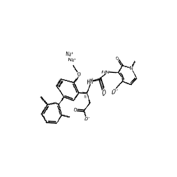 COc1ccc(-c2c(C)cccc2C)cc1[C@H](CC(=O)[O-])NC(=O)Nc1c([O-])ccn(C)c1=O.[Na+].[Na+]